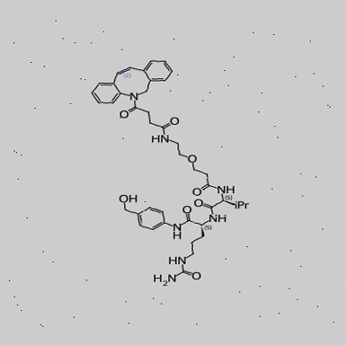 CC(C)[C@H](NC(=O)CCOCCNC(=O)CCC(=O)N1Cc2ccccc2/C=C\c2ccccc21)C(=O)N[C@@H](CCCNC(N)=O)C(=O)Nc1ccc(CO)cc1